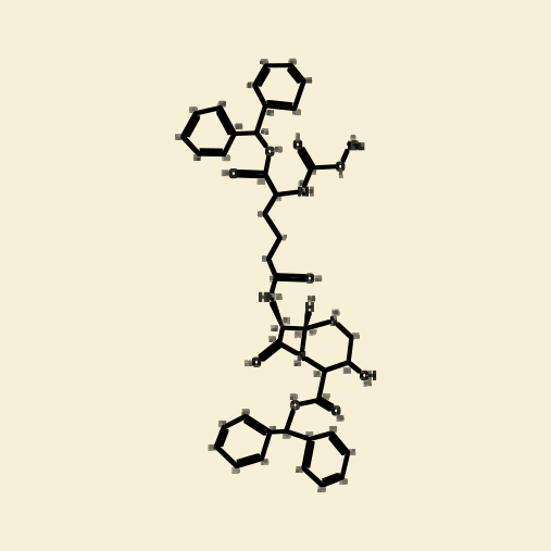 CC(C)(C)OC(=O)NC(CCCC(=O)N[C@@H]1C(=O)N2C(C(=O)OC(c3ccccc3)c3ccccc3)C(O)CS[C@@H]12)C(=O)OC(c1ccccc1)c1ccccc1